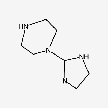 C1CNC(N2CCNCC2)[N]1